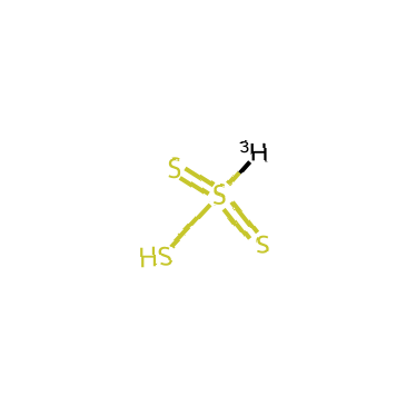 [3H]S(=S)(=S)S